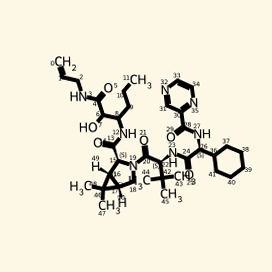 C=CCNC(=O)C(O)C(CCC)NC(=O)[C@@H]1[C@@H]2[C@H](CN1C(=O)[C@@H](NC(=O)[C@@H](NC(=O)c1cnccn1)C1CCCCC1)C(C)(C)C)C2(C)C